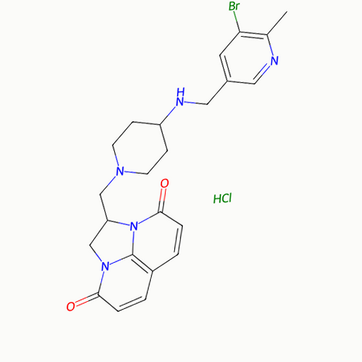 Cc1ncc(CNC2CCN(CC3Cn4c(=O)ccc5ccc(=O)n3c54)CC2)cc1Br.Cl